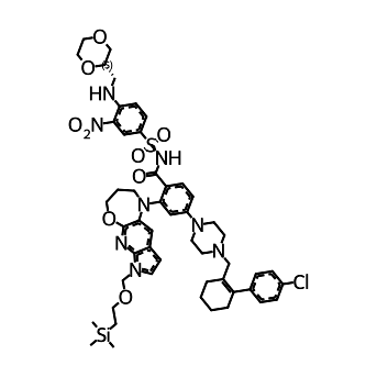 C[Si](C)(C)CCOCn1ccc2cc3c(nc21)OCCCN3c1cc(N2CCN(CC3=C(c4ccc(Cl)cc4)CCCC3)CC2)ccc1C(=O)NS(=O)(=O)c1ccc(NC[C@H]2COCCO2)c([N+](=O)[O-])c1